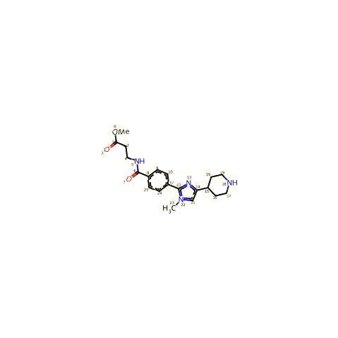 COC(=O)CCNC(=O)c1ccc(-c2nc(C3CCNCC3)cn2C)cc1